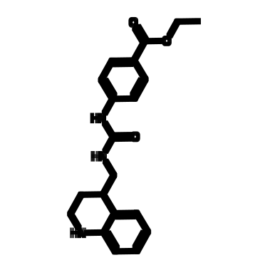 CCOC(=O)c1ccc(NC(=O)NCC2CCNc3ccccc32)cc1